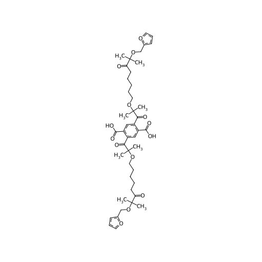 CC(C)(OCc1ccco1)C(=O)CCCCCOC(C)(C)C(=O)c1cc(C(=O)O)c(C(=O)C(C)(C)OCCCCCC(=O)C(C)(C)OCc2ccco2)cc1C(=O)O